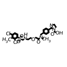 Cc1c(Cl)ccc(S(=O)(=O)CNCCOCC(=O)N(C)Cc2ccc(C3=NCCN3C(=O)O)cc2)c1Cl